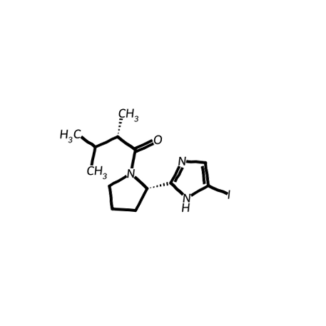 CC(C)[C@H](C)C(=O)N1CCC[C@H]1c1ncc(I)[nH]1